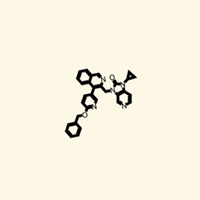 O=c1n(Cc2ncc3ccccc3c2-c2ccc(OCc3ccccc3)nc2)c2cnccc2n1C1CC1